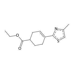 CCOC(=O)C1CC=C(c2nc(C)cs2)CC1